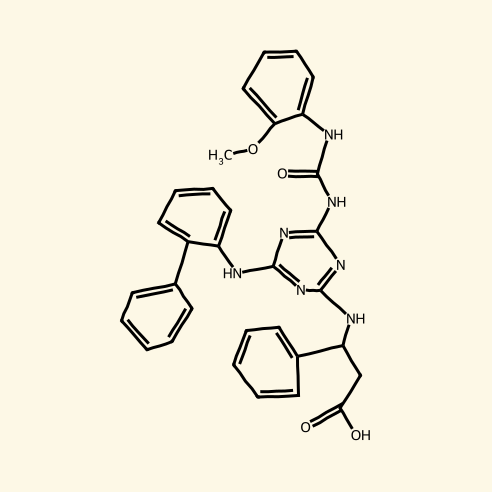 COc1ccccc1NC(=O)Nc1nc(Nc2ccccc2-c2ccccc2)nc(NC(CC(=O)O)c2ccccc2)n1